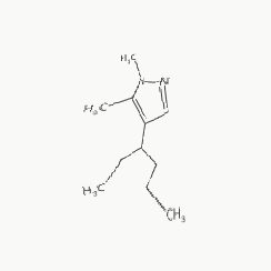 CCCC(CC)c1cnn(C)c1C